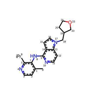 Cc1ccnc(C(C)C)c1Nc1nccc2c1ccn2CC1CCOC1